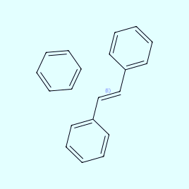 C(=C\c1ccccc1)/c1ccccc1.c1ccccc1